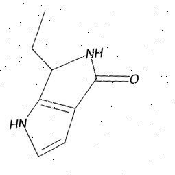 CCC1NC(=O)c2cc[nH]c21